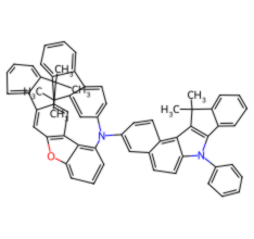 CC1(C)c2ccccc2-c2ccc(N(c3ccc4c(ccc5c4c4c(n5-c5ccccc5)-c5ccccc5C4(C)C)c3)c3cccc4oc5cc6c(cc5c34)C(C)(C)c3ccccc3-6)cc21